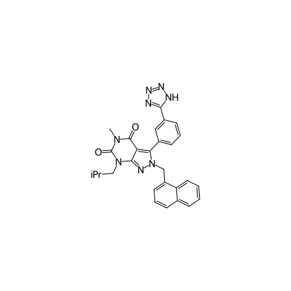 CC(C)Cn1c(=O)n(C)c(=O)c2c(-c3cccc(-c4nnn[nH]4)c3)n(Cc3cccc4ccccc34)nc21